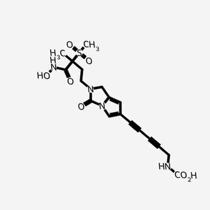 CC(CCN1Cc2cc(C#CC#CCNC(=O)O)cn2C1=O)(C(=O)NO)S(C)(=O)=O